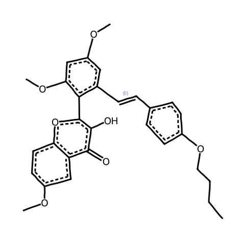 CCCCOc1ccc(/C=C/c2cc(OC)cc(OC)c2-c2oc3ccc(OC)cc3c(=O)c2O)cc1